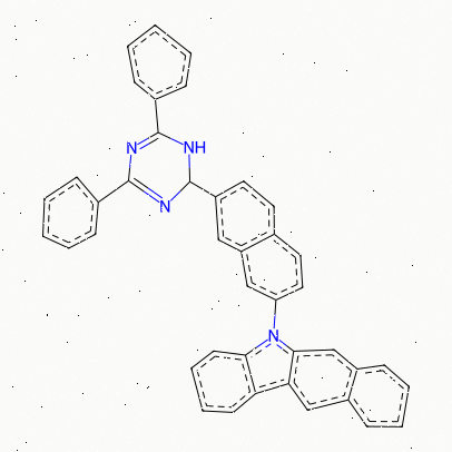 c1ccc(C2=NC(c3ccc4ccc(-n5c6ccccc6c6cc7ccccc7cc65)cc4c3)NC(c3ccccc3)=N2)cc1